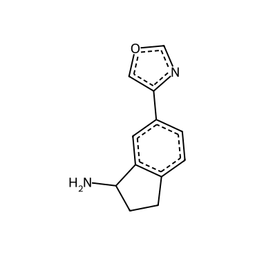 NC1CCc2ccc(-c3cocn3)cc21